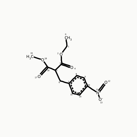 CCOC(=O)C(Cc1ccc([N+](=O)[O-])cc1)C(=O)OC